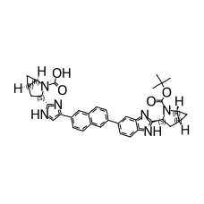 CC(C)(C)OC(=O)N1[C@@H]2C[C@@H]2C[C@H]1c1nc2cc(-c3ccc4cc(-c5c[nH]c([C@@H]6C[C@H]7C[C@H]7N6C(=O)O)n5)ccc4c3)ccc2[nH]1